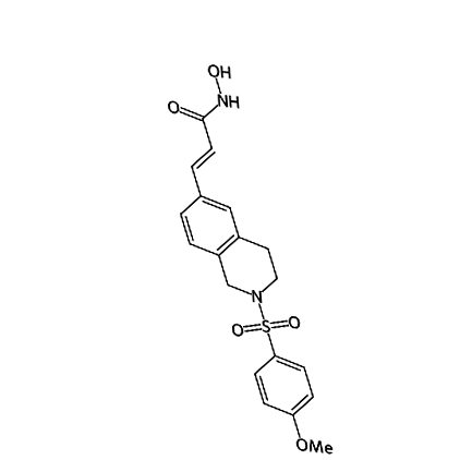 COc1ccc(S(=O)(=O)N2CCc3cc(C=CC(=O)NO)ccc3C2)cc1